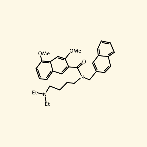 CCN(CC)CCCCN(Cc1ccc2ccccc2c1)C(=O)c1cc2cccc(OC)c2cc1OC